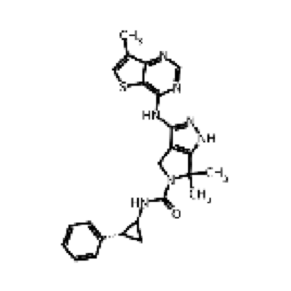 Cc1csc2c(Nc3n[nH]c4c3CN(C(=O)N[C@H]3C[C@@H]3c3ccccc3)C4(C)C)ncnc12